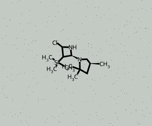 C[C@@H]1CN([C@@H]2NC(Cl)C2[Si](C)(C)C)C(C)(C)C1